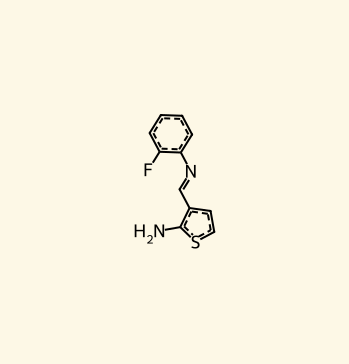 Nc1sccc1/C=N/c1ccccc1F